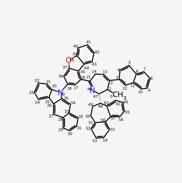 CC1C(c2ccc3ccccc3c2)=CCC(c2cc(-n3c4ccccc4c4cc5ccccc5cc43)cc3oc4ccccc4c23)=NC1[C@H]1CCc2ccccc2-c2ccccc21